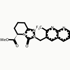 COC(=O)[C@@H]1CCCc2nn(Cc3cc4cccnc4nc3C(F)(F)F)c(=O)n21